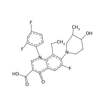 CCc1c(N2CCC(O)C(C)C2)c(F)cc2c(=O)c(C(=O)O)cn(-c3ccc(F)cc3F)c12